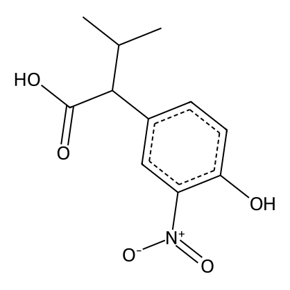 CC(C)C(C(=O)O)c1ccc(O)c([N+](=O)[O-])c1